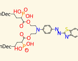 CCCCCCCCCCCCC(C(=O)OCCN(CCOC(=O)C(CCCCCCCCCCCC)P(=O)(O)O)c1ccc(/N=N/c2nc3ccccc3s2)cc1)P(=O)(O)O